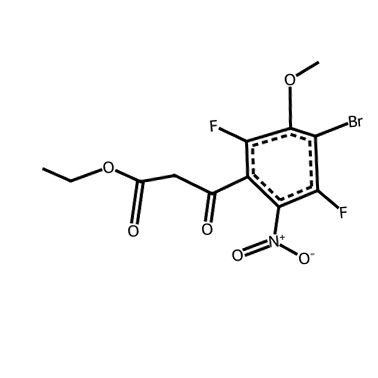 CCOC(=O)CC(=O)c1c(F)c(OC)c(Br)c(F)c1[N+](=O)[O-]